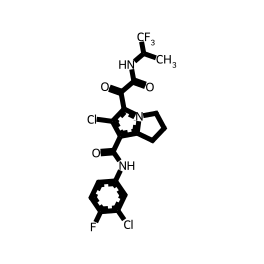 CC(NC(=O)C(=O)c1c(Cl)c(C(=O)Nc2ccc(F)c(Cl)c2)c2n1CCC2)C(F)(F)F